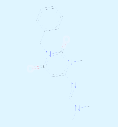 CN(C)C=Nc1cc(=O)n(Cc2ccccc2)c(=O)n1C